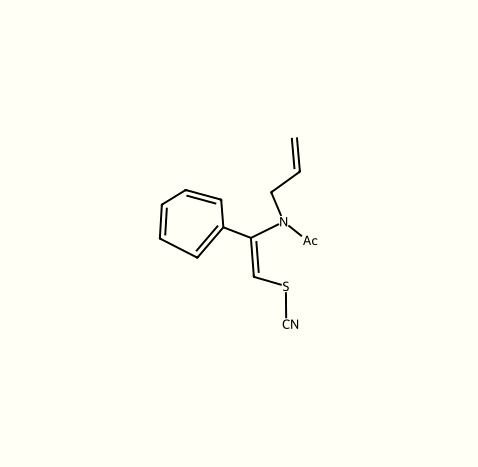 C=CCN(C(C)=O)C(=CSC#N)c1ccccc1